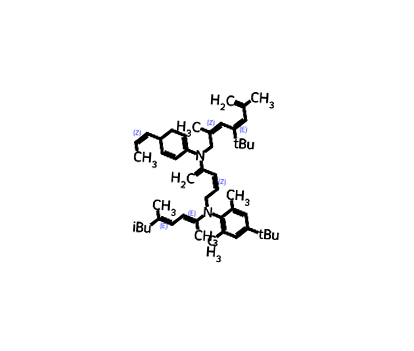 C=C(C)/C=C(\C=C(\C)CN(C(=C)/C=C\CN(/C(C)=C/C=C(\C)C(C)CC)c1c(C)cc(C(C)(C)C)cc1C)C1=CCC(/C=C\C)C=C1)C(C)(C)C